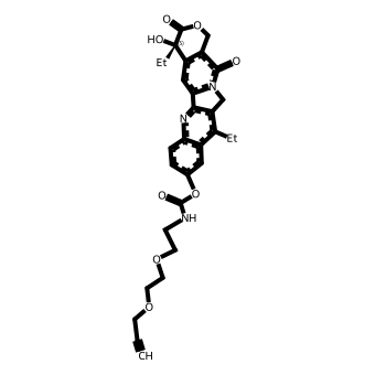 C#CCOCCOCCNC(=O)Oc1ccc2nc3c(c(CC)c2c1)Cn1c-3cc2c(c1=O)COC(=O)[C@]2(O)CC